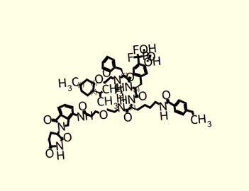 CCc1ccc(C(=O)NCCCC[C@H](NC(=O)[C@H](Cc2ccc(C(F)(F)P(=O)(O)O)cc2)NC(=O)[C@H](Cc2ccccc2)NC(=O)CO[C@H]2C[C@@H](C)CC[C@@H]2C(C)C)C(=O)NCCOCCC(=O)Nc2cccc3c2CN(C2CCC(=O)NC2=O)C3=O)cc1